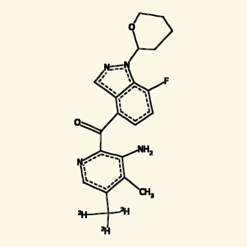 [2H]C([2H])([2H])c1cnc(C(=O)c2ccc(F)c3c2cnn3C2CCCCO2)c(N)c1C